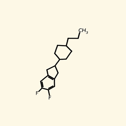 CCCC1CCC(C2Cc3cc(F)c(F)cc3C2)CC1